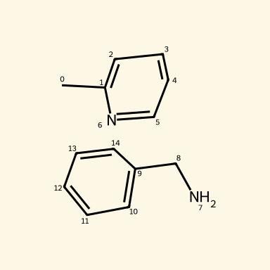 Cc1ccccn1.NCc1ccccc1